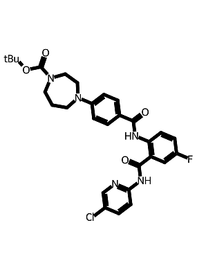 CC(C)(C)OC(=O)N1CCCN(c2ccc(C(=O)Nc3ccc(F)cc3C(=O)Nc3ccc(Cl)cn3)cc2)CC1